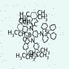 CC(C)(C)c1ccc(N2c3cc(N4c5ccccc5[Si](c5ccccc5)(c5ccccc5)c5ccccc54)cc4c3B(c3cc5c(cc3N4c3ccc4c(c3)C(C)(C)CCC4(C)C)C(C)(C)CCC5(C)C)c3oc4ccc(C(C)(C)C)cc4c32)cc1